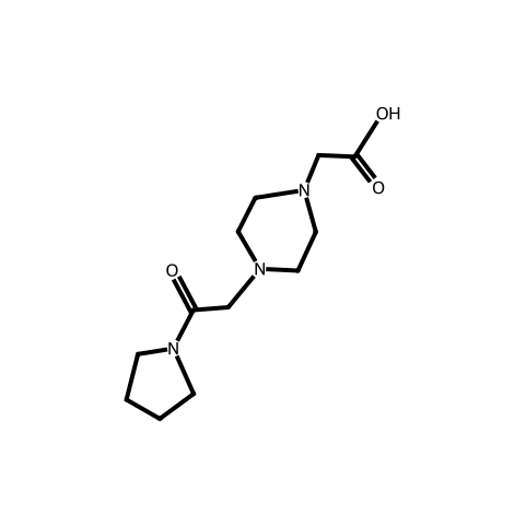 O=C(O)CN1CCN(CC(=O)N2CCCC2)CC1